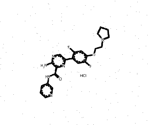 Cl.Nc1ncc(-c2cc(F)c(OCCN3CCCC3)cc2F)nc1C(=O)Nc1cccnc1